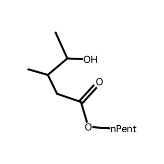 CCCCCOC(=O)CC(C)C(C)O